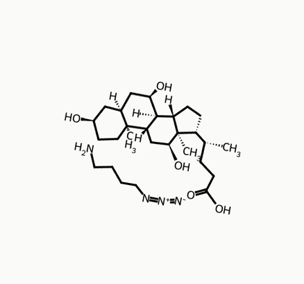 C[C@H](CCC(=O)O)[C@H]1CC[C@H]2[C@@H]3[C@H](O)C[C@@H]4C[C@H](O)CC[C@]4(C)[C@H]3C[C@H](O)[C@]12C.[N-]=[N+]=NCCCCN